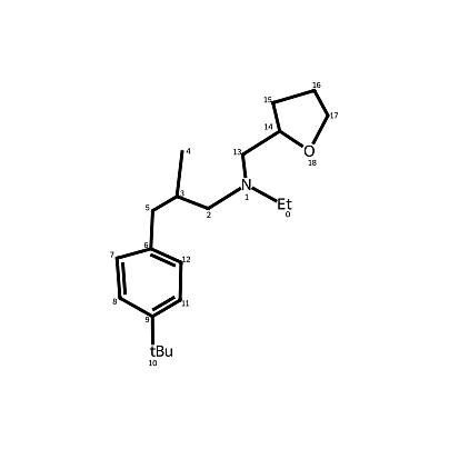 CCN(CC(C)Cc1ccc(C(C)(C)C)cc1)CC1CCCO1